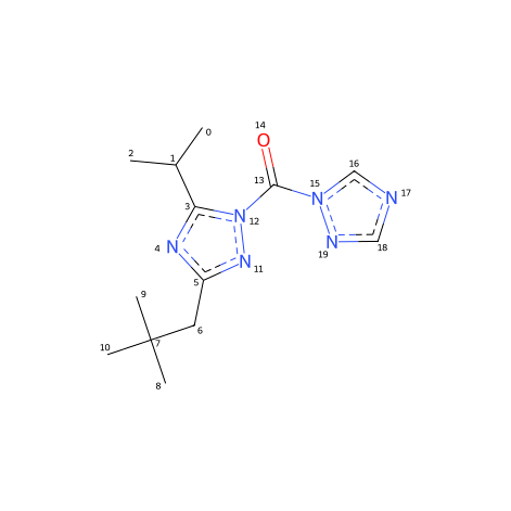 CC(C)c1nc(CC(C)(C)C)nn1C(=O)n1cncn1